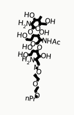 CCCOCCOCCO/N=C/C(N)C(O)C(OC1OC(CO)C(OC2OC(CO)C(C)C(O)C2N)C(O)C1NC(C)=O)C(O)CO